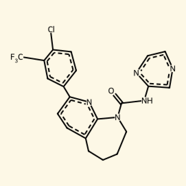 O=C(Nc1cnccn1)N1CCCCc2ccc(-c3ccc(Cl)c(C(F)(F)F)c3)nc21